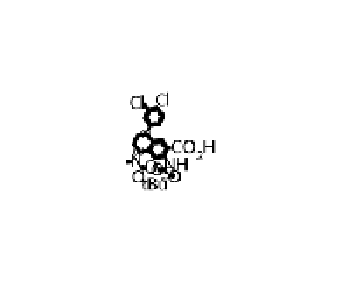 CN(C(=O)OC(C)(C)C)[C@H]1CC[C@@H](c2ccc(Cl)c(Cl)c2)c2cc(C(=O)O)c(NS(C)(=O)=O)cc21